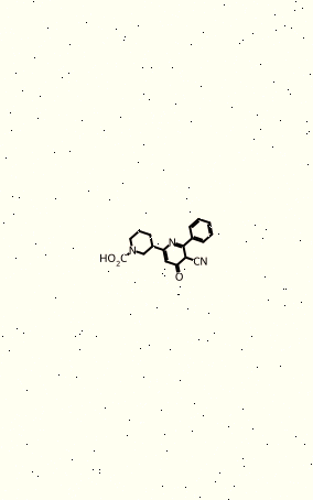 N#CC1C(=O)C=C(C2CCCN(C(=O)O)C2)N=C1c1ccccc1